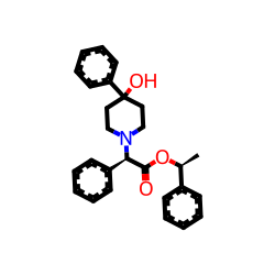 C[C@H](OC(=O)[C@@H](c1ccccc1)N1CCC(O)(c2ccccc2)CC1)c1ccccc1